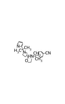 CC(C)(NC[C@]1([C@@H]2CCCO2)CCN(C(C)(C)c2ccccn2)C1)c1ccc(C#N)cc1